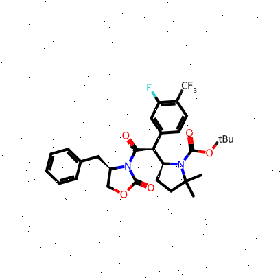 CC(C)(C)OC(=O)N1[C@H]([C@@H](C(=O)N2C(=O)OC[C@H]2Cc2ccccc2)c2ccc(C(F)(F)F)c(F)c2)CCC1(C)C